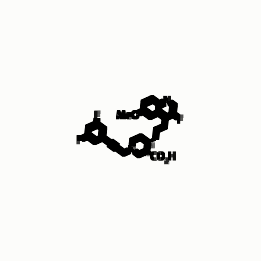 COc1ccc2ncc(F)c(CCC[C@H]3CCN(CC#Cc4cc(F)cc(F)c4)C[C@H]3C(=O)O)c2c1